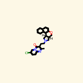 Cc1nc2ccc(Cl)cn2c(=O)c1CCN1C[C@H]2COc3ccc4ccccc4c3[C@@H]2C1